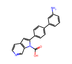 Nc1cccc(-c2ccc(-c3cc4ccncc4n3C(=O)O)cc2)c1